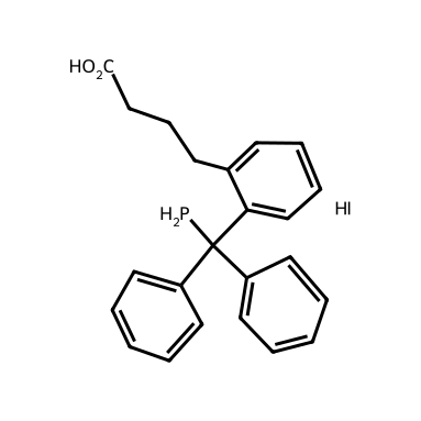 I.O=C(O)CCCc1ccccc1C(P)(c1ccccc1)c1ccccc1